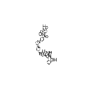 O=C1CCC(N2C(=O)c3ccc(N4CCCC(N5CCC(CN6CCN7c8cc(-c9ccccc9O)nnc8NC[C@H]7C6)CC5)C4)cc3C2=O)C(=O)N1